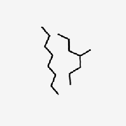 CCCC(C)CCC.CCCCCCCC